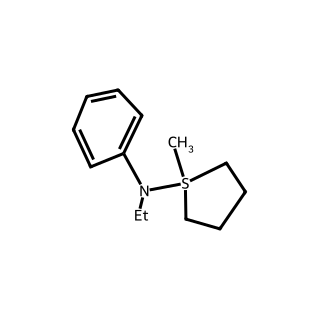 CCN(c1ccccc1)S1(C)CCCC1